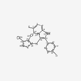 CC1=CC=C2NC(c3ccc(C)cc3)=C(Cn3cnc(Cl)c3Cl)N2C1